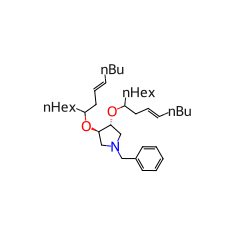 CCCCC=CCC(CCCCCC)O[C@@H]1CN(Cc2ccccc2)C[C@H]1OC(CC=CCCCC)CCCCCC